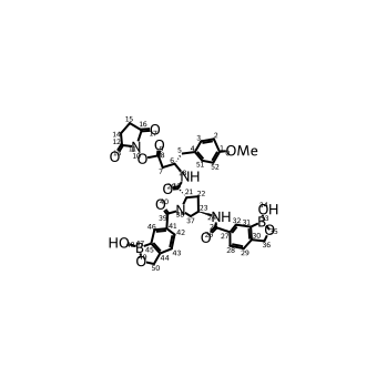 COc1ccc(C[C@@H](CC(=O)ON2C(=O)CCC2=O)NC(=O)[C@@H]2C[C@@H](NC(=O)c3ccc4c(c3)B(O)OC4)CN2C(=O)c2ccc3c(c2)B(O)OC3)cc1